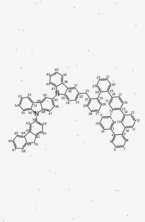 c1ccc(-c2ccccc2-c2cccc(-c3ccc(-c4ccccc4-c4ccccc4Cc4ccc5c(c4)c4ccccc4n5-c4ccc5c(c4)c4ccccc4n5-c4ccc5c(c4)-c4ccccc4C5)cc3)c2)cc1